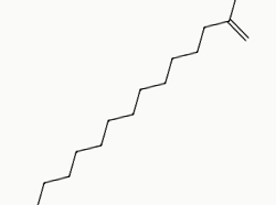 [CH2]CCCCCCCCCCCC(=C)C